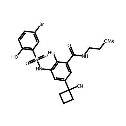 COCCNC(=O)c1cc(C2(C#N)CCC2)cc(NS(=O)(=O)c2cc(Br)ccc2O)c1O